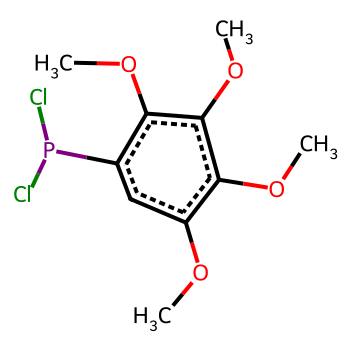 COc1cc(P(Cl)Cl)c(OC)c(OC)c1OC